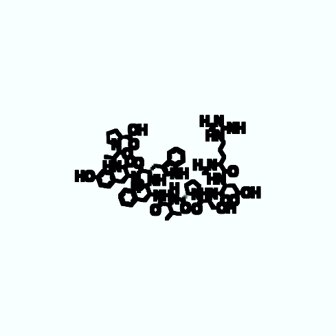 CC(C)[C@H](NC(=O)[C@@H]1CCCN1C(=O)[C@H](CO)NC(=O)[C@H](CC(=O)O)NC(=O)[C@@H](N)CCCNC(=N)N)C(=O)N[C@@H](Cc1ccccc1)C(=O)N[C@@H](Cc1c[nH]c2ccccc12)C(=O)N[C@@H](Cc1ccc(O)cc1)C(=O)N[C@@H](C)C(=O)N1CCC[C@H]1C(=O)O